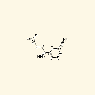 N#Cc1cccc(C(=N)CCC2CC2)c1